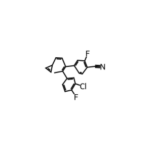 C/C(=C(\C=C/C1C=C1)c1ccc(C#N)c(F)c1)c1ccc(F)c(Cl)c1